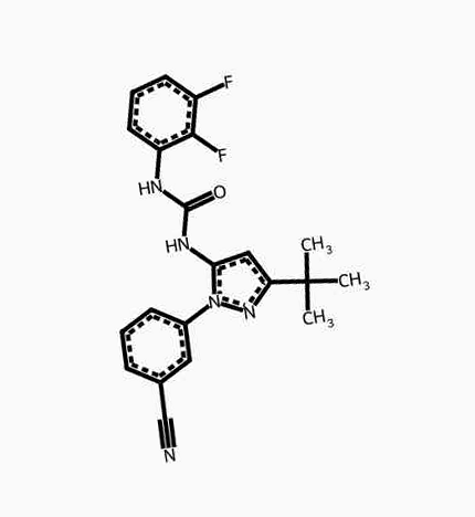 CC(C)(C)c1cc(NC(=O)Nc2cccc(F)c2F)n(-c2cccc(C#N)c2)n1